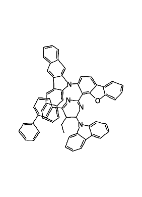 CCC1C(c2cccc(-c3ccccc3)c2)=NC(c2c(-n3c4cc5ccccc5cc4c4cc5ccccc5cc43)ccc3c2oc2ccccc23)=NC1n1c2ccccc2c2ccccc21